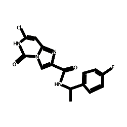 CC(NC(=O)c1cn2c(=O)[nH]c(Cl)cc2n1)c1ccc(F)cc1